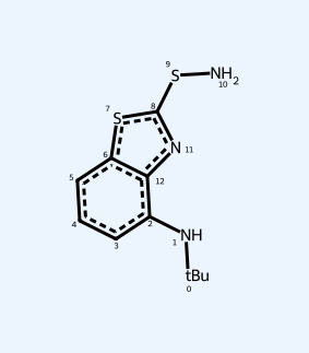 CC(C)(C)Nc1cccc2sc(SN)nc12